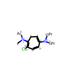 CCCN(CCC)C1=CCC(N(C)C(C)=O)=C(Cl)C=C1